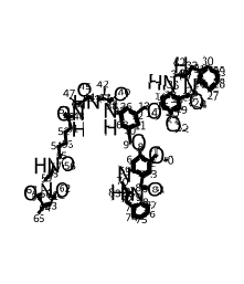 COc1cc2c(cc1OCc1cc(COc3cc4c(cc3OC)C(=O)N3c5ccccc5C[C@H]3CN4)cc(NC(=O)[C@H](C)NC(=O)[C@H](C)NC(=O)CCCCC(=O)NCCN3C(=O)C=C(C)C3=O)c1)N=C[C@@H]1Cc3ccccc3N1C2=O